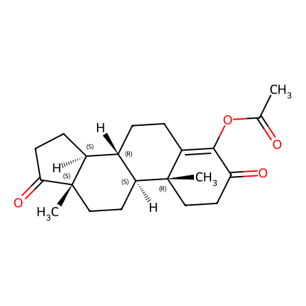 CC(=O)OC1=C2CC[C@@H]3[C@H](CC[C@]4(C)C(=O)CC[C@@H]34)[C@@]2(C)CCC1=O